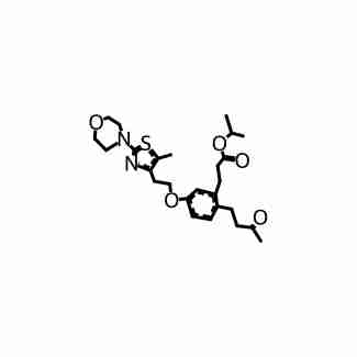 CC(=O)CCc1ccc(OCCc2nc(N3CCOCC3)sc2C)cc1CCC(=O)OC(C)C